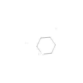 Cl.O[C@@H]1CCNC[C@@H]1F